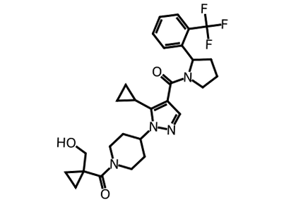 O=C(c1cnn(C2CCN(C(=O)C3(CO)CC3)CC2)c1C1CC1)N1CCCC1c1ccccc1C(F)(F)F